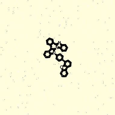 c1ccc2c(c1)nc1c3ccccc3c3c4ccccc4n(-c4ccc(-c5cccc6c5oc5ccccc56)cc4)c3n21